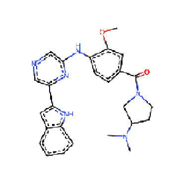 COc1cc(C(=O)N2CCC(N(C)C)C2)ccc1Nc1cncc(-c2cc3ccccc3[nH]2)n1